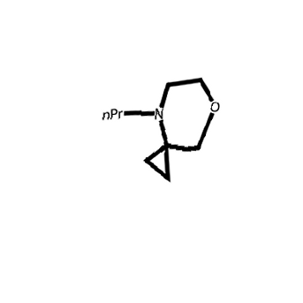 CCCN1CCOCC12CC2